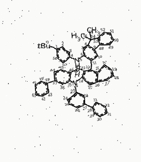 CC(C)(C)c1ccc(Nc2cc3c(cc2-c2c4c(cc5ccccc25)N(c2cccc(-c5ccccc5)c2)c2cc(-c5ccccc5)ccc2B4)-c2ccccc2C3(C)C)cc1